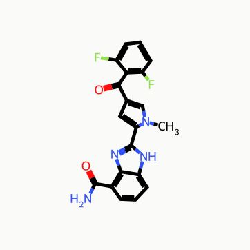 Cn1cc(C(=O)c2c(F)cccc2F)cc1-c1nc2c(C(N)=O)cccc2[nH]1